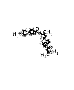 CC(CCNC(=O)c1ccc(N2CCN(C)CC2)cc1)CC(=O)N1CCC2C1C(=O)CN2C(=O)CN(C)C